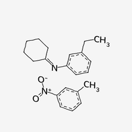 CCc1cccc(N=C2CCCCC2)c1.Cc1cccc([N+](=O)[O-])c1